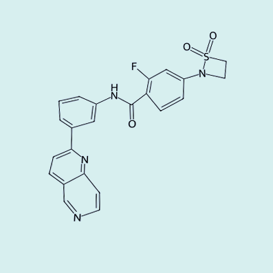 O=C(Nc1cccc(-c2ccc3cnccc3n2)c1)c1ccc(N2CCS2(=O)=O)cc1F